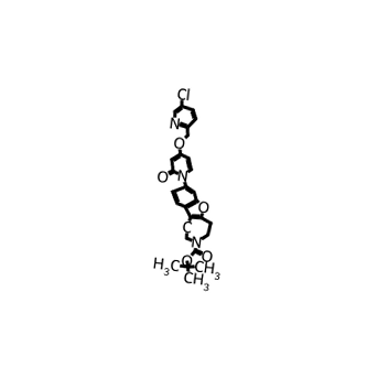 CC(C)(C)OC(=O)N1CCc2oc3cc(-n4ccc(OCc5ccc(Cl)cn5)cc4=O)ccc3c2CC1